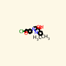 CC1(C)C=C2N=C3N(c4ccc5oc(Cl)cc5c4)CCC3(O)C(=O)C2=CC1